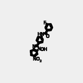 O=C(Nc1ccc(-c2nc3ccc([N+](=O)[O-])cc3n2O)cc1)c1cccc(F)c1